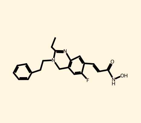 CCC1=Nc2cc(C=CC(=O)NO)c(F)cc2CN1CCc1ccccc1